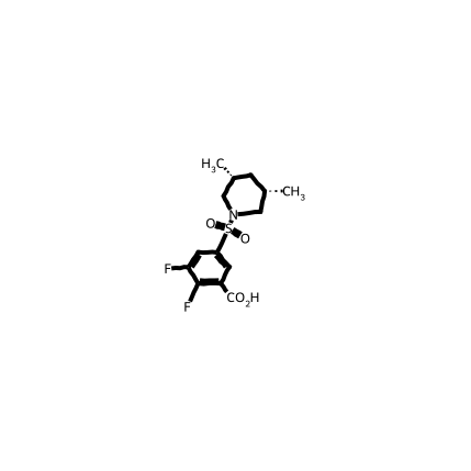 C[C@@H]1C[C@H](C)CN(S(=O)(=O)c2cc(F)c(F)c(C(=O)O)c2)C1